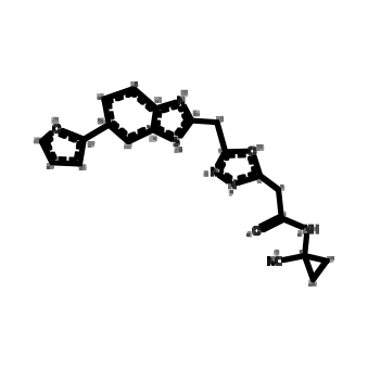 N#CC1(NC(=O)Cc2nnc(Cc3nc4ccc(-c5ccco5)cc4s3)o2)CC1